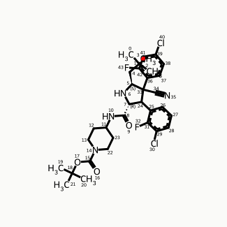 CC(C)(C)C[C@@H]1N[C@@H](C(=O)NC2CCN(C(=O)OC(C)(C)C)CC2)C(c2cccc(Cl)c2F)C1(C#N)c1ccc(Cl)cc1F